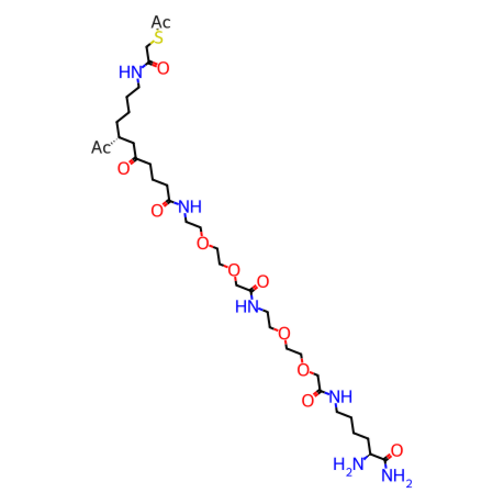 CC(=O)SCC(=O)NCCCC[C@H](CC(=O)CCCC(=O)NCCOCCOCC(=O)NCCOCCOCC(=O)NCCCC[C@H](N)C(N)=O)C(C)=O